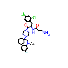 CC(=O)N(CC1(N2CCN(C(=O)C(Cc3ccc(Cl)cc3Cl)NC(=O)CCN)CC2)CCCCC1)c1cccc(F)c1